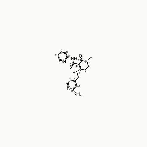 CN1CCC(NCc2ccnc(N)c2)=C(C(=S)Nc2ccccn2)C1=O